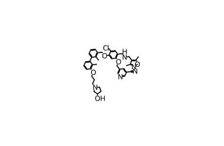 Cc1noc(C)c1CNCc1cc(Cl)c(OCc2cccc(-c3cccc(OCCCN4CC[C@@H](O)C4)c3C)c2C)cc1OCc1cncc(C#N)c1